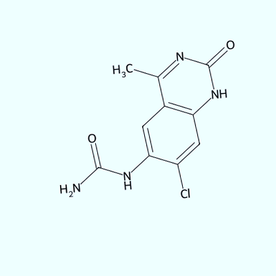 Cc1nc(=O)[nH]c2cc(Cl)c(NC(N)=O)cc12